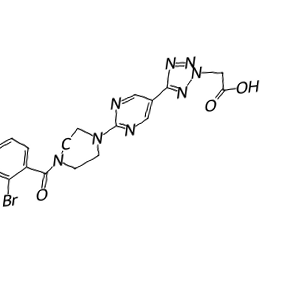 O=C(O)Cn1nnc(-c2cnc(N3CCN(C(=O)c4ccccc4Br)CC3)nc2)n1